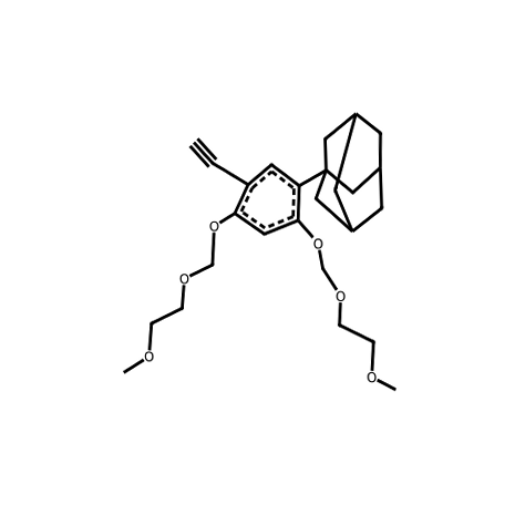 C#Cc1cc(C23CC4CC(CC(C4)C2)C3)c(OCOCCOC)cc1OCOCCOC